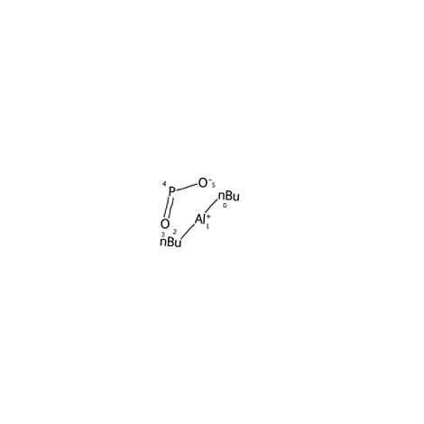 CCC[CH2][Al+][CH2]CCC.O=P[O-]